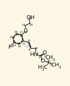 CC(C)(C)OC(=O)NC/C=C/c1cc(F)ccc1OCCO